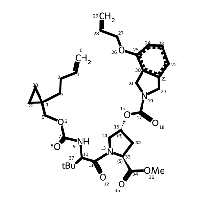 C=CCCC1(COC(=O)NC(C(=O)N2C[C@H](OC(=O)N3Cc4cccc(OCC=C)c4C3)C[C@H]2C(=O)OC)C(C)(C)C)CC1